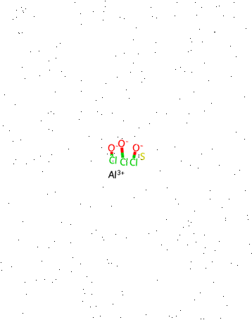 [Al+3].[O-]Cl.[O-]Cl.[O-]Cl.[S]